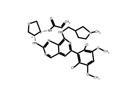 C=CC(=O)N[C@H]1COC[C@H]1Nc1ncc2cc(-c3c(Cl)c(OC)cc(OC)c3Cl)nc(NCC3CCN(C)C3)c2n1